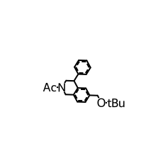 CC(=O)N1Cc2ccc(COC(C)(C)C)cc2C(c2ccccc2)C1